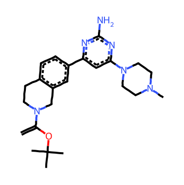 C=C(OC(C)(C)C)N1CCc2ccc(-c3cc(N4CCN(C)CC4)nc(N)n3)cc2C1